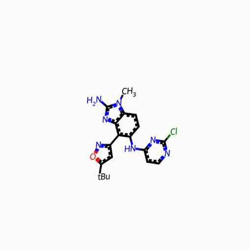 Cn1c(N)nc2c(-c3cc(C(C)(C)C)on3)c(Nc3ccnc(Cl)n3)ccc21